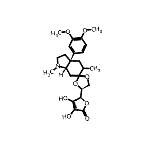 COc1ccc([C@]23CCN(C)[C@H]2CC2(OC[C@@H]([C@H]4OC(=O)C(O)=C4O)O2)C(C)C3)cc1OC